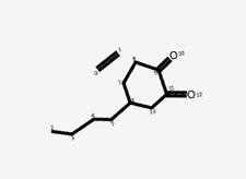 C=C.CCCCC1CCC(=O)C(=O)C1